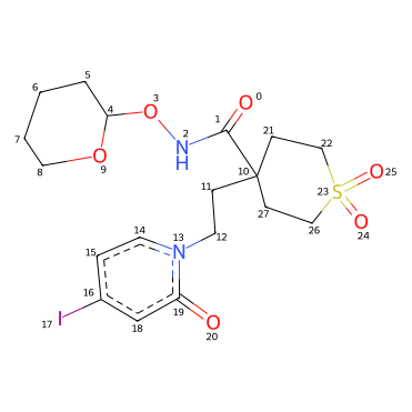 O=C(NOC1CCCCO1)C1(CCn2ccc(I)cc2=O)CCS(=O)(=O)CC1